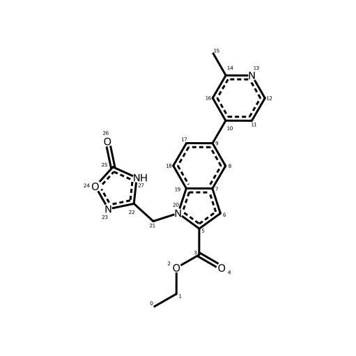 CCOC(=O)c1cc2cc(-c3ccnc(C)c3)ccc2n1Cc1noc(=O)[nH]1